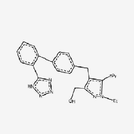 CCCc1c(Cc2ccc(-c3ccccc3-c3nnn[nH]3)cc2)c(CO)nn1CC